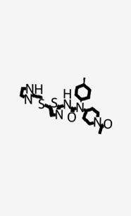 CC(=O)N1CCC(N(C(=O)Nc2ncc(SCC3=NCCN3)s2)[C@H]2CC[C@H](C)CC2)CC1